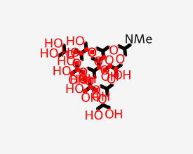 CNCC(COCC(COCC(COC(CO)CO)COC(CO)CO)COCC(COC(CO)CO)COC(CO)CO)COCC(COCC(COC(CO)CO)COC(CO)CO)COCC(COC(CO)CO)COC(CO)CO